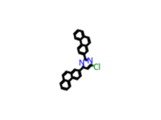 Clc1cc(-c2ccc3c(ccc4ccccc43)c2)nc(-c2ccc3c(ccc4ccccc43)c2)n1